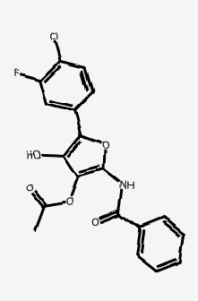 CC(=O)Oc1c(NC(=O)c2ccccc2)oc(-c2ccc(Cl)c(F)c2)c1O